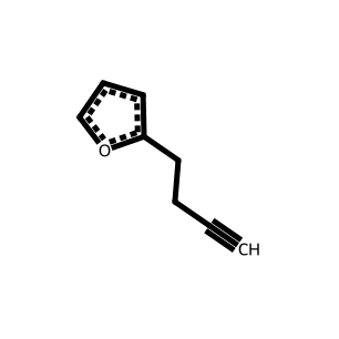 C#CCCc1ccco1